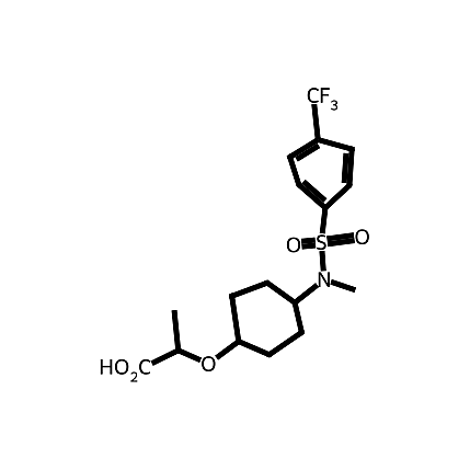 CC(OC1CCC(N(C)S(=O)(=O)c2ccc(C(F)(F)F)cc2)CC1)C(=O)O